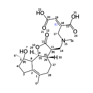 CC1=C2CC[C@@](C)(O)C2[C@H]2OC(=O)[C@@H](CN(C)C/C(=C\C(=O)O)C(=O)O)[C@@H]2CC1